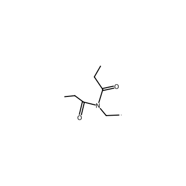 [CH2]CN(C(=O)CC)C(=O)CC